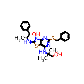 C[C@@H](Nc1nc2nc(SCc3ccccc3)nc(NC(C)(C)CO)c2s1)[C@@H](O)c1ccccc1